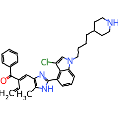 C=C/C(=C\c1nc(-c2cccc3c2c(Cl)cn3CCCCC2CCNCC2)[nH]c1C)C(=O)c1ccccc1